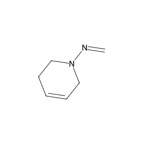 C=NN1CC=CCC1